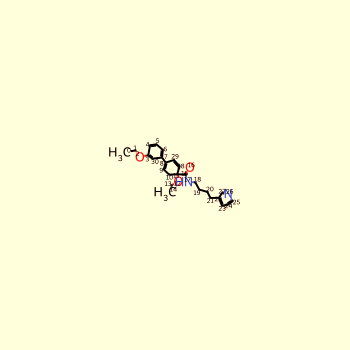 CCOc1cccc(C2=CCC(OCC)(C(=O)NCCCCc3cccnc3)C=C2)c1